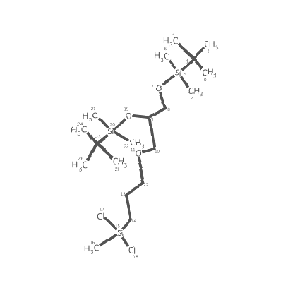 CC(C)(C)[Si](C)(C)OCC(COCCC[Si](C)(Cl)Cl)O[Si](C)(C)C(C)(C)C